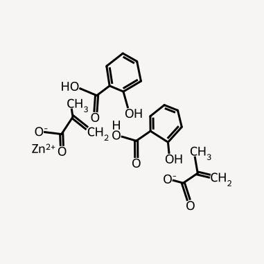 C=C(C)C(=O)[O-].C=C(C)C(=O)[O-].O=C(O)c1ccccc1O.O=C(O)c1ccccc1O.[Zn+2]